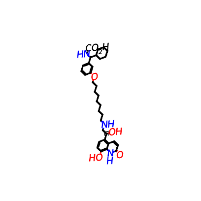 O=C(O)NC(c1cccc(OCCCCCCCCCNC[C@@H](O)c2ccc(O)c3[nH]c(=O)ccc23)c1)C1CCCCC1